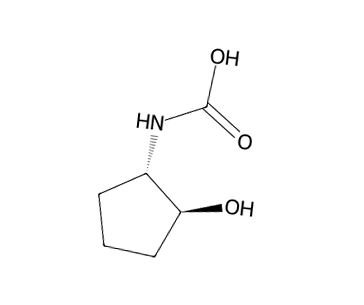 O=C(O)N[C@H]1CCC[C@@H]1O